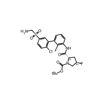 CC(C)(C)OC(=O)N1C[C@H](F)C[C@H]1C(=O)Nc1cccc(-c2cc(S(=O)(=O)CN)ccc2Cl)c1F